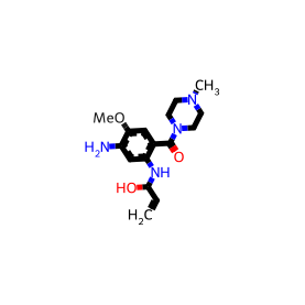 C=CC(O)Nc1cc(N)c(OC)cc1C(=O)N1CCN(C)CC1